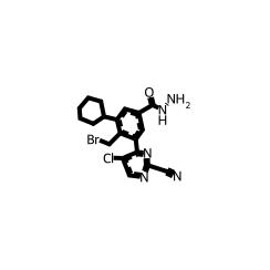 N#Cc1ncc(Cl)c(-c2cc(C(=O)NN)cc(C3CCCCC3)c2CBr)n1